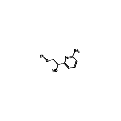 Bc1cccc(C(O)COCC)n1